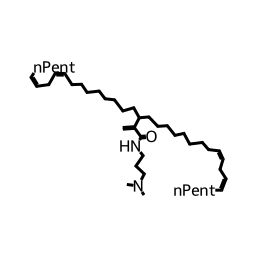 C=C(C(=O)NCCCN(C)C)C(CCCCCCCC/C=C\C/C=C\CCCCC)CCCCCCCC/C=C\C/C=C\CCCCC